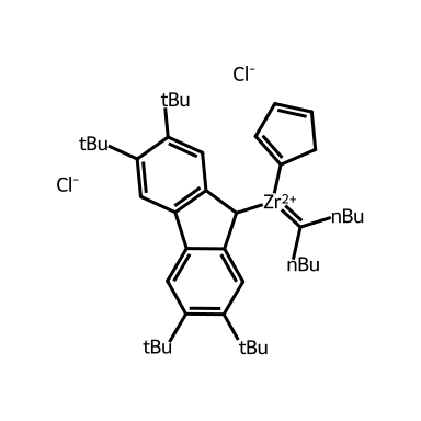 CCCC[C](CCCC)=[Zr+2]([C]1=CC=CC1)[CH]1c2cc(C(C)(C)C)c(C(C)(C)C)cc2-c2cc(C(C)(C)C)c(C(C)(C)C)cc21.[Cl-].[Cl-]